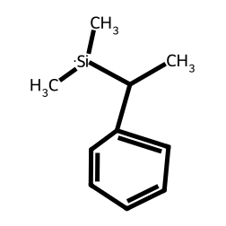 CC(c1ccccc1)[Si](C)C